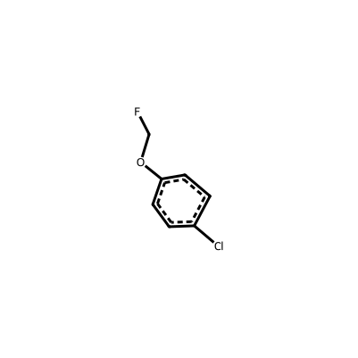 FCOc1ccc(Cl)cc1